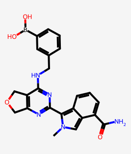 Cn1cc2c(C(N)=O)cccc2c1-c1nc2c(c(NCc3cccc(B(O)O)c3)n1)COC2